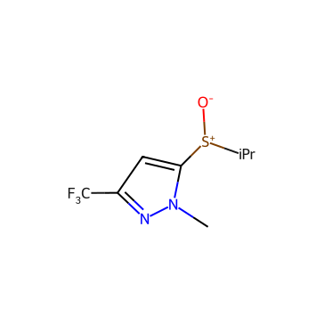 CC(C)[S+]([O-])c1cc(C(F)(F)F)nn1C